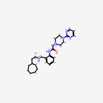 C[C@@H](CC1CCCCCC1)NCc1ccccc1NC(=O)CN1CCN(c2ncccn2)CC1